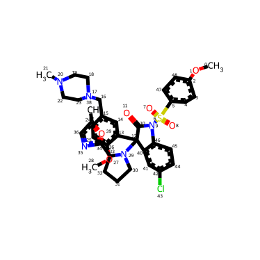 COc1ccc(S(=O)(=O)N2C(=O)C(c3cc(CN4CCN(C)CC4)ccc3OC)(N3CCCC3c3ncc(C)o3)c3cc(Cl)ccc32)cc1